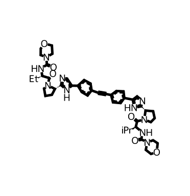 CC[C@H](NC(=O)N1CCOCC1)C(=O)N1CCC[C@H]1c1ncc(-c2ccc(C#Cc3ccc(-c4cnc([C@@H]5CCCN5C(=O)[C@@H](NC(=O)N5CCOCC5)C(C)C)[nH]4)cc3)cc2)[nH]1